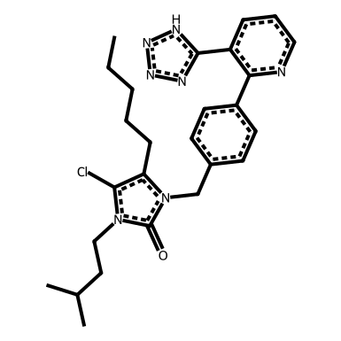 CCCCCc1c(Cl)n(CCC(C)C)c(=O)n1Cc1ccc(-c2ncccc2-c2nnn[nH]2)cc1